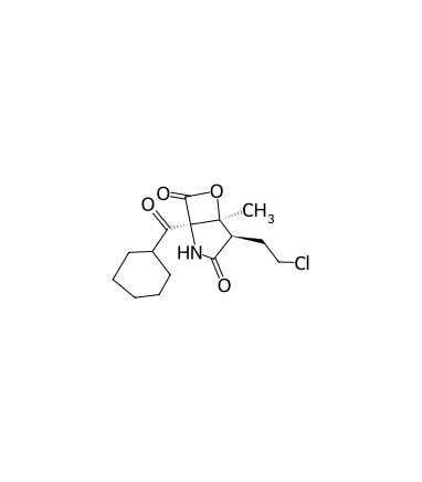 C[C@@]12OC(=O)[C@]1(C(=O)C1CCCCC1)NC(=O)[C@@H]2CCCl